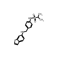 CC(C)S(=O)(=O)Nc1ccc(CNc2ccc3ccsc3c2)cc1